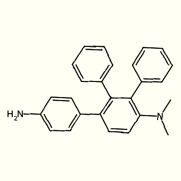 CN(C)c1ccc(-c2ccc(N)cc2)c(-c2ccccc2)c1-c1ccccc1